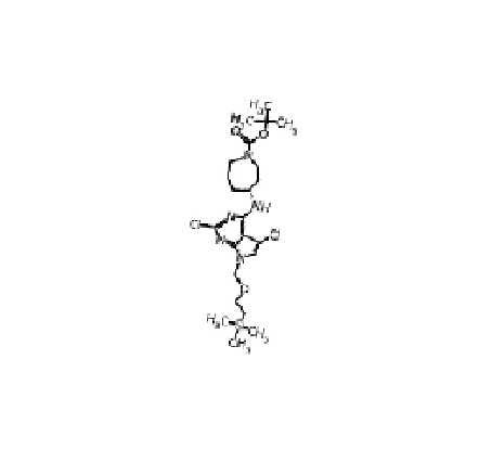 CC(C)(C)OC(=O)N1CCC[C@@H](Nc2nc(Cl)nc3c2c(Cl)cn3COCC[Si](C)(C)C)CC1